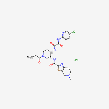 COCC(=O)N1CC[C@H](NC(=O)C(=O)Nc2ccc(Cl)cn2)[C@H](NC(=O)c2nc3c(s2)CN(C)CC3)C1.Cl